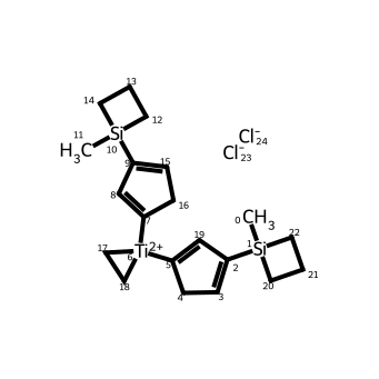 C[Si]1(C2=CC[C]([Ti+2]3([C]4=CC([Si]5(C)CCC5)=CC4)[CH2][CH2]3)=C2)CCC1.[Cl-].[Cl-]